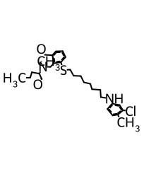 CCCC(C=O)N(C)Cc1c(C=O)cccc1SCCCCCCCCNc1ccc(C)c(Cl)c1